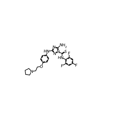 Nc1nc(Nc2ccc(OCCN3CCCC3)cc2)nn1C(=S)Nc1c(F)cc(F)cc1F